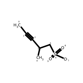 CC#CC(C)CS([O])(=O)=O